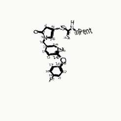 CCCCCNC(=S)S[C@@H]1CC(=O)N(Cc2ccc(Oc3ccc(F)cc3)nc2)C1